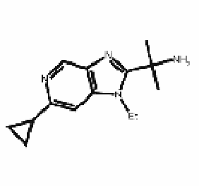 CCn1c(C(C)(C)N)nc2cnc(C3CC3)cc21